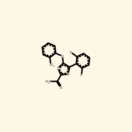 NC(=O)c1nc(-c2c(F)cccc2F)c(Oc2ccccc2C(F)(F)F)s1